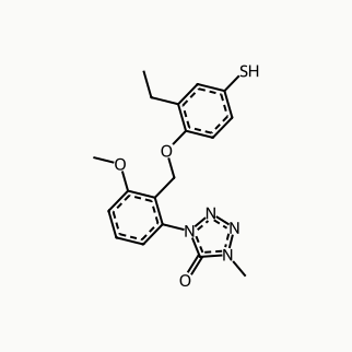 CCc1cc(S)ccc1OCc1c(OC)cccc1-n1nnn(C)c1=O